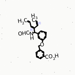 C=C/C=C(\C=C/C)C(NC=O)c1cccc(OCc2cccc(C(=O)O)c2)c1